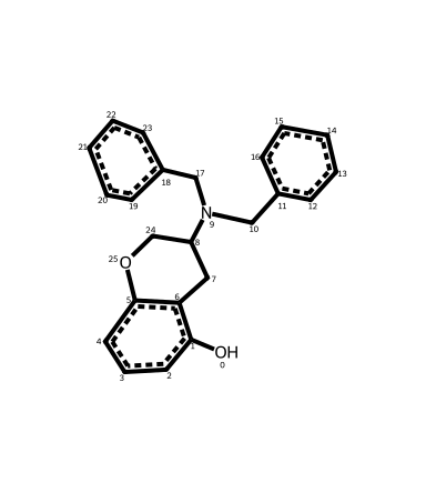 Oc1cccc2c1CC(N(Cc1ccccc1)Cc1ccccc1)CO2